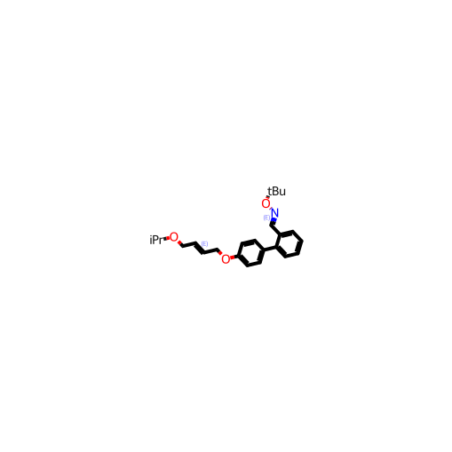 CC(C)OC/C=C/COc1ccc(-c2ccccc2/C=N/OC(C)(C)C)cc1